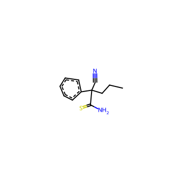 CCCC(C#N)(C(N)=S)c1ccccc1